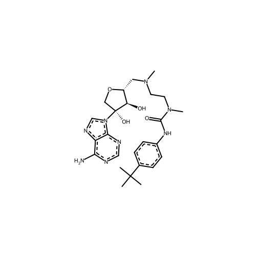 CN(CCN(C)C(=O)Nc1ccc(C(C)(C)C)cc1)C[C@H]1OC[C@](O)(n2cnc3c(N)ncnc32)[C@@H]1O